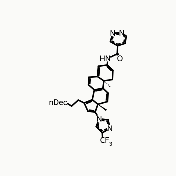 CCCCCCCCCCCCC1=C2C3=C(C=C[C@]2(C)C(n2cnc(C(F)(F)F)c2)=C1)[C@]1(C)CC=C(NC(=O)c2ccnnc2)C=C1C=C3